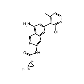 Cc1ccnc(O)c1-c1cc(N)c2cnc(NC(=O)[C@@H]3C[C@@H]3F)cc2c1